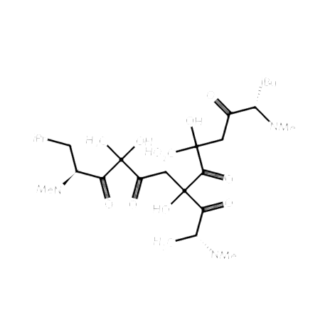 CCC(C)[C@H](NC)C(=O)CC(O)(C(=O)O)C(=O)C(O)(CC(=O)C(C)(O)C(=O)[C@H](CC(C)C)NC)C(=O)[C@@H](C)NC